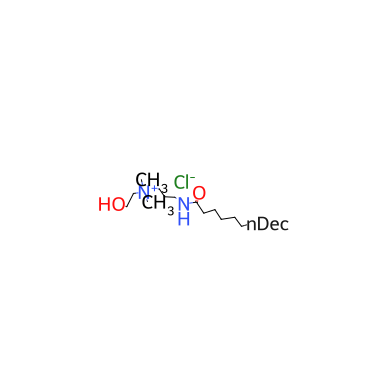 CCCCCCCCCCCCCCCC(=O)NCCC[N+](C)(C)CCO.[Cl-]